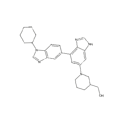 OCC1CCCN(c2cc(-c3ccc4c(c3)ncn4C3CCCCC3)c3nc[nH]c3c2)C1